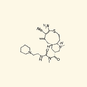 C=C1C[C@H]2C[C@@H](C(=O)N(C)C(=O)NCCN3CCCCC3)CN(C)[C@@H]2CCS/C(N)=C\1C#N